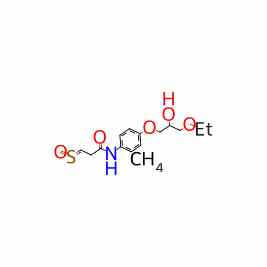 C.CCOCC(O)COc1ccc(NC(=O)CC=S=O)cc1